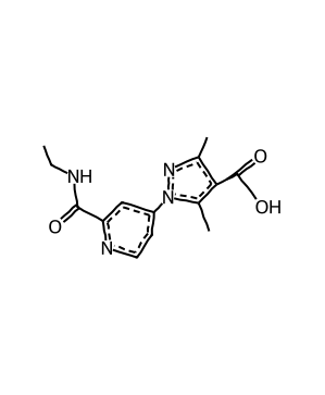 CCNC(=O)c1cc(-n2nc(C)c(C(=O)O)c2C)ccn1